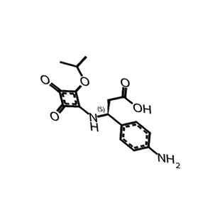 CC(C)Oc1c(N[C@@H](CC(=O)O)c2ccc(N)cc2)c(=O)c1=O